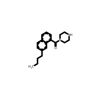 CCCCc1ccc2cccc(C(=O)N3CCNCC3)c2c1